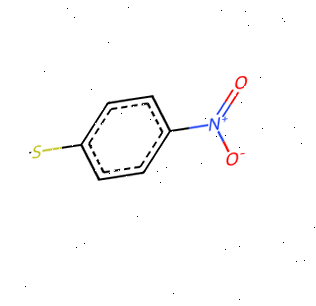 O=[N+]([O-])c1ccc([S])cc1